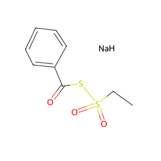 CCS(=O)(=O)SC(=O)c1ccccc1.[NaH]